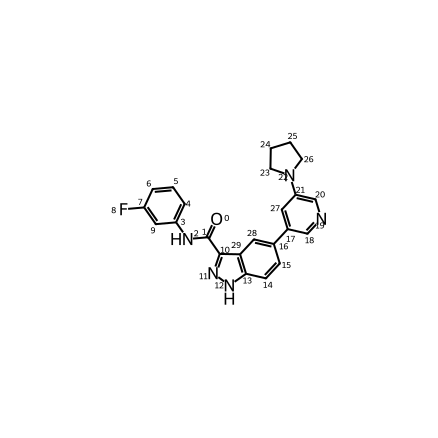 O=C(Nc1cccc(F)c1)c1n[nH]c2ccc(-c3cncc(N4CCCC4)c3)cc12